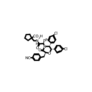 CCC[C@H](C(=O)NCC1(C(=O)O)CCCC1)N1C(=O)[C@H](Cc2ccc(C#N)cc2)O[C@@H](c2ccc(Cl)cc2)[C@H]1c1ccc(Cl)cc1